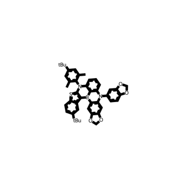 Cc1cc(C(C)(C)C)cc(C)c1N1c2cccc3c2B(c2cc4c(cc2N3c2ccc3c(c2)OCO3)OCO4)c2c1sc1ccc(C(C)(C)C)cc21